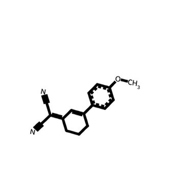 COc1ccc(C2=CC(=C(C#N)C#N)CCC2)cc1